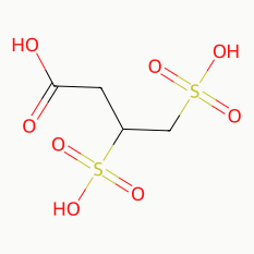 O=C(O)CC(CS(=O)(=O)O)S(=O)(=O)O